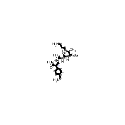 C=C(N/C=C(\C(N)=O)c1ccc(CN)cc1)NC(=O)NC(CCCC)[C@@H](C)NCCCN